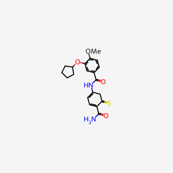 COc1ccc(C(=O)NC2=CC=C(C(N)=O)C(=S)C2)cc1OC1CCCC1